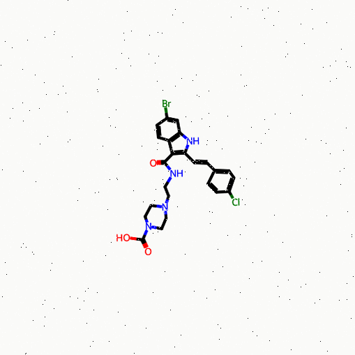 O=C(NCCN1CCN(C(=O)O)CC1)c1c(/C=C/c2ccc(Cl)cc2)[nH]c2cc(Br)ccc12